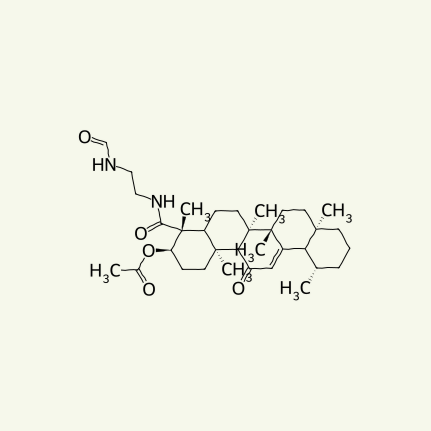 CC(=O)O[C@@H]1CC[C@@]2(C)C(CC[C@]3(C)C2C(=O)C=C2C4[C@@H](C)CCC[C@]4(C)CC[C@]23C)[C@@]1(C)C(=O)NCCNC=O